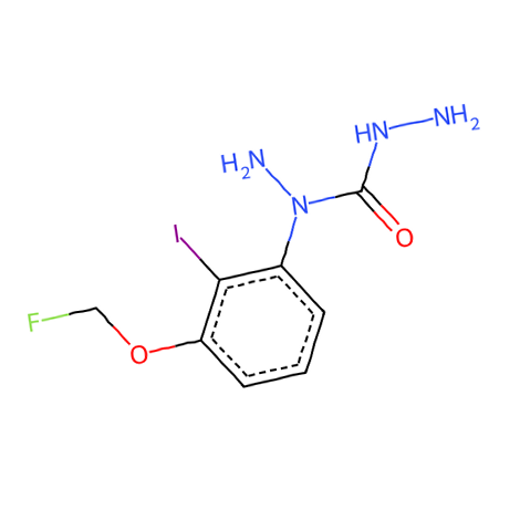 NNC(=O)N(N)c1cccc(OCF)c1I